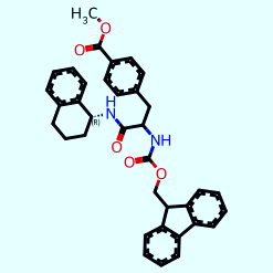 COC(=O)c1ccc(CC(NC(=O)OCC2c3ccccc3-c3ccccc32)C(=O)N[C@@H]2CCCc3ccccc32)cc1